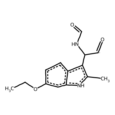 CCOc1ccc2c(C([C]=O)NC=O)c(C)[nH]c2c1